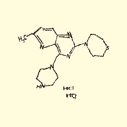 Cc1ccc2nc(N3CCSCC3)nc(N3CCNCC3)c2n1.Cl.Cl